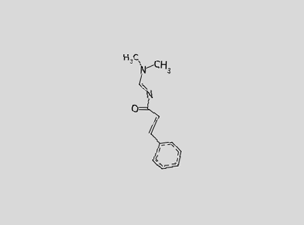 CN(C)C=NC(=O)C=Cc1ccccc1